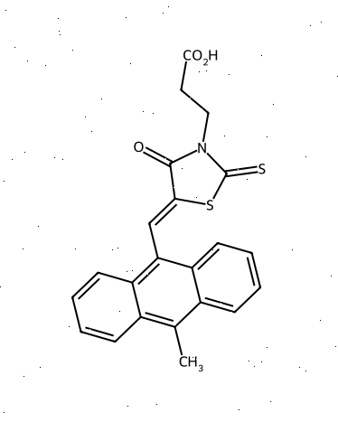 Cc1c2ccccc2c(C=C2SC(=S)N(CCC(=O)O)C2=O)c2ccccc12